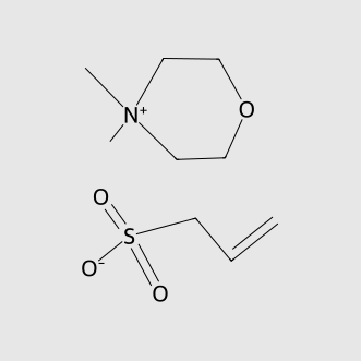 C=CCS(=O)(=O)[O-].C[N+]1(C)CCOCC1